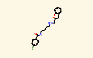 O=C(NCCCCNCC1Cc2ccccc2O1)c1ccc(F)cc1